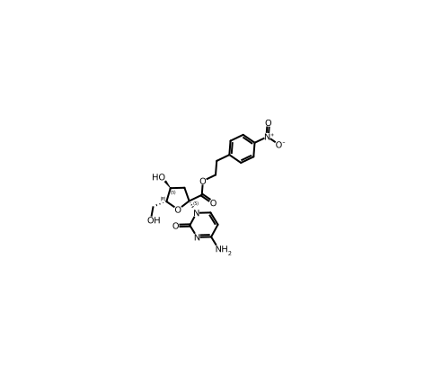 Nc1ccn([C@@]2(C(=O)OCCc3ccc([N+](=O)[O-])cc3)C[C@H](O)[C@@H](CO)O2)c(=O)n1